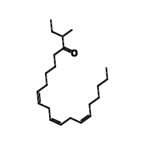 CCCCC/C=C\C/C=C\C/C=C\CCCCC(=O)C(C)CC